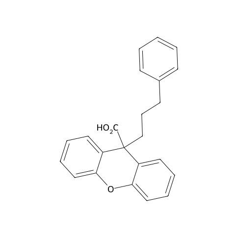 O=C(O)C1(CCCc2ccccc2)c2ccccc2Oc2ccccc21